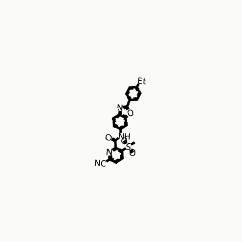 CCc1ccc(-c2nc3ccc(NC(=O)c4nc(C#N)ccc4S(C)(=O)=O)cc3o2)cc1